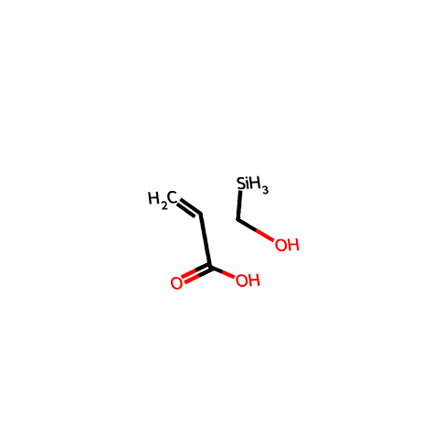 C=CC(=O)O.OC[SiH3]